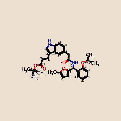 Cc1ccc(C(NC(=O)Cc2ccc3[nH]cc(CCC(=O)OC(C)(C)C)c3c2)c2ccccc2OC(C)C)o1